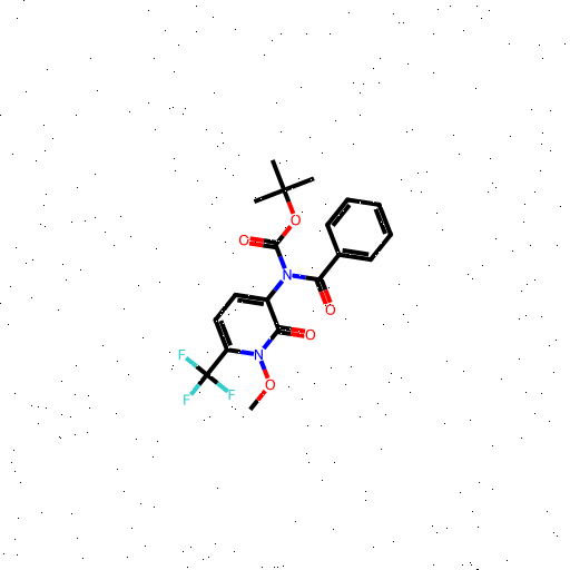 COn1c(C(F)(F)F)ccc(N(C(=O)OC(C)(C)C)C(=O)c2ccccc2)c1=O